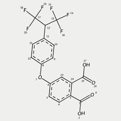 O=C(O)c1ccc(Oc2ccc(C(C(F)(F)F)C(F)(F)F)cc2)cc1C(=O)O